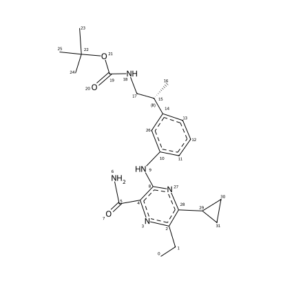 CCc1nc(C(N)=O)c(Nc2cccc([C@@H](C)CNC(=O)OC(C)(C)C)c2)nc1C1CC1